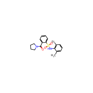 CCc1cccc(C)c1NS(=O)(=O)c1ccccc1C(=O)N1CCCC1